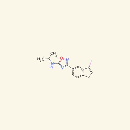 CC(C)Nc1nc(-c2ccc3c(c2)C(I)=CC3)no1